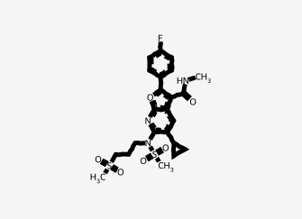 CNC(=O)c1c(-c2ccc(F)cc2)oc2nc(N(CCCS(C)(=O)=O)S(C)(=O)=O)c(C3CC3)cc12